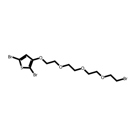 BrCCOCCOCCOCCOc1cc(Br)sc1Br